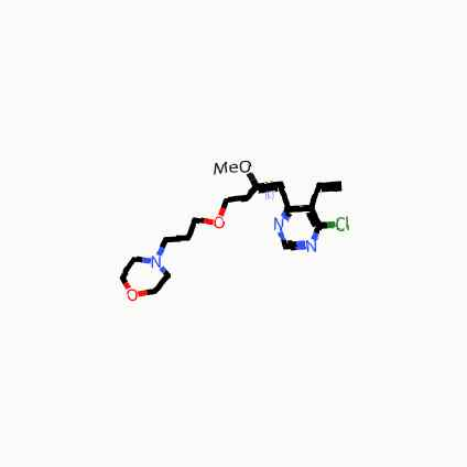 C=Cc1c(Cl)ncnc1/C=C(\CCOCCCN1CCOCC1)OC